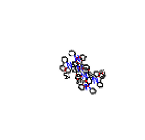 C[Si](C)(C)c1ccc2c(c1)B1c3cc([Si](C)(C)Cc4cccc(N(c5ccccc5)c5cc6c7c(c5)N(c5ccccc5-c5ccccc5)c5cc([Si](C)(C)C)ccc5B7c5ccc([Si](C)(C)C)cc5N6c5ccccc5-c5ccccc5)c4)ccc3N(c3ccccc3-c3ccccc3)c3cc(N(c4ccccc4)c4ccccc4)cc(c31)N2c1ccccc1-c1ccccc1